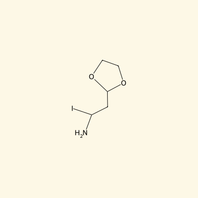 NC(I)CC1OCCO1